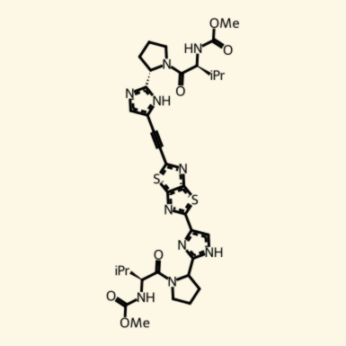 COC(=O)N[C@H](C(=O)N1CCCC1c1nc(-c2nc3sc(C#Cc4cnc([C@@H]5CCCN5C(=O)[C@@H](NC(=O)OC)C(C)C)[nH]4)nc3s2)c[nH]1)C(C)C